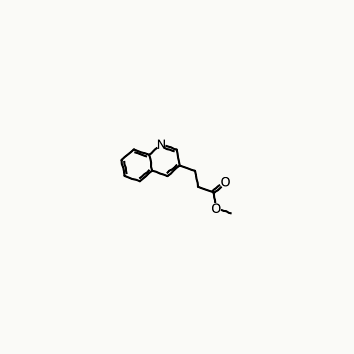 COC(=O)CCc1cnc2ccccc2c1